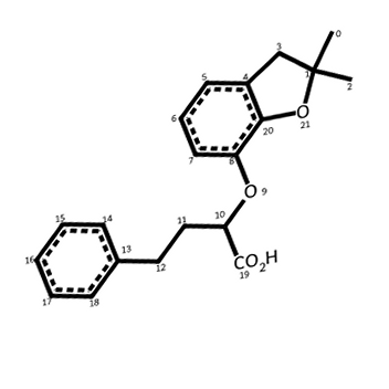 CC1(C)Cc2cccc(OC(CCc3ccccc3)C(=O)O)c2O1